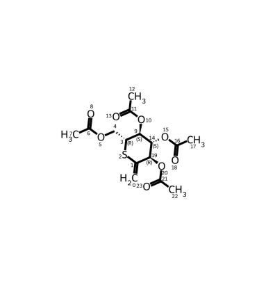 C=C1S[C@H](COC(C)=O)[C@@H](OC(C)=O)[C@H](OC(C)=O)[C@H]1OC(C)=O